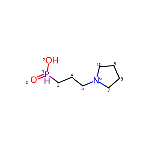 O=[PH](O)CCCN1CCCC1